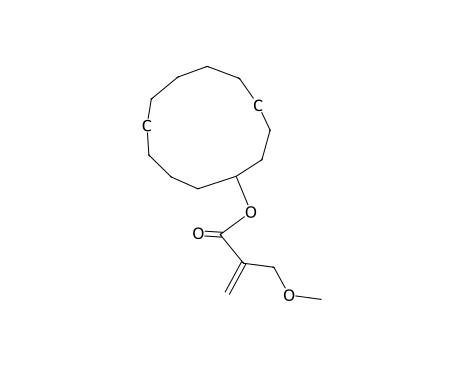 C=C(COC)C(=O)OC1CCCCCCCCCCC1